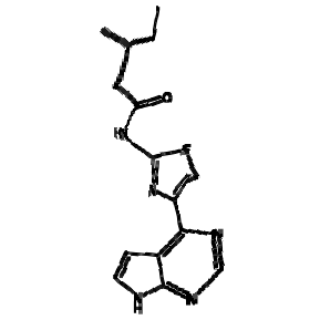 CCC(C)CC(=O)Nc1nc(-c2ncnc3[nH]ccc23)cs1